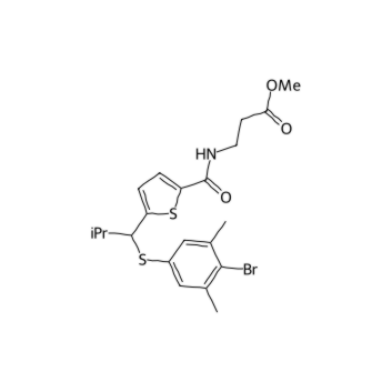 COC(=O)CCNC(=O)c1ccc(C(Sc2cc(C)c(Br)c(C)c2)C(C)C)s1